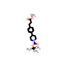 COC(=O)CCc1ccc(C2CCN(C(=O)OC(C)(C)C)CC2)cc1